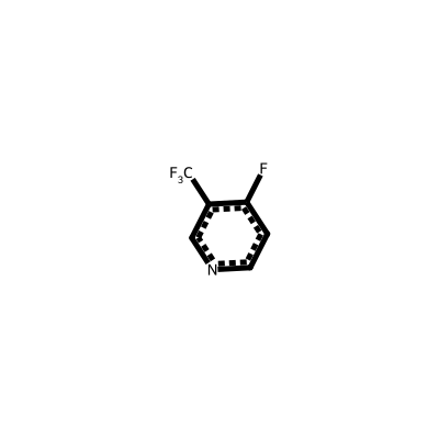 Fc1ccncc1C(F)(F)F